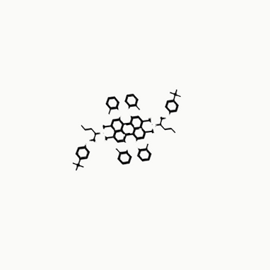 CCCC(C(=O)Oc1ccc(C(C)(C)C)cc1)N1C(=O)c2cc(Oc3ccccc3C)c3c4c(Oc5ccccc5C)cc5c6c(cc(Oc7ccccc7C)c(c7c(Oc8ccccc8C)cc(c2c37)C1=O)c64)C(=O)N(C(CCC)C(=O)Oc1ccc(C(C)(C)C)cc1)C5=O